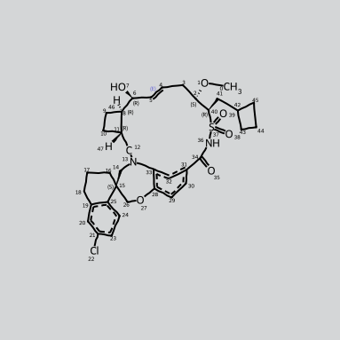 CO[C@H]1C/C=C/[C@H](O)[C@@H]2CC[C@H]2CN2C[C@@]3(CCCc4cc(Cl)ccc43)COc3ccc(cc32)C(=O)NS(=O)(=O)[C@@H]1CC1CCC1